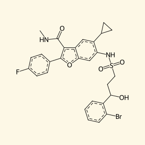 CNC(=O)c1c(-c2ccc(F)cc2)oc2cc(NS(=O)(=O)CCC(O)c3ccccc3Br)c(C3CC3)cc12